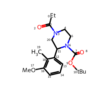 CCC(=O)N1CCN(C(=O)OC(C)(C)C)C(c2cccc(OC)c2C)C1